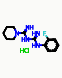 Cl.N=C(NC(=N)N1CCCCC1)Nc1ccccc1F